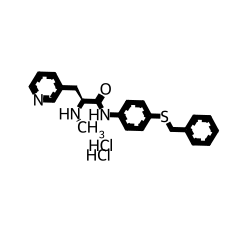 CN[C@@H](Cc1cccnc1)C(=O)Nc1ccc(SCc2ccccc2)cc1.Cl.Cl